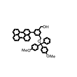 COc1ccc(C(OCc2cc(CO)cc(-c3ccc4c5cccc6cccc(c7cccc3c74)c65)c2)(c2ccccc2)c2ccc(OC)cc2)cc1